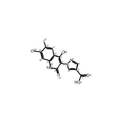 O=C(O)c1cnn(-c2c(O)c3cc(I)c(Cl)cc3[nH]c2=O)c1